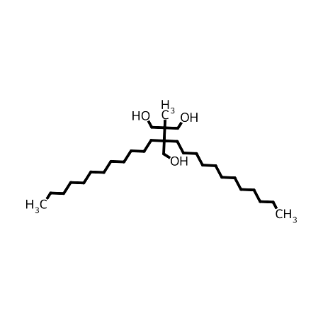 CCCCCCCCCCCCC(CO)(CCCCCCCCCCCC)C(C)(CO)CO